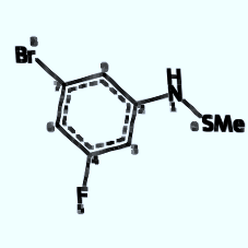 CSNc1cc(F)cc(Br)c1